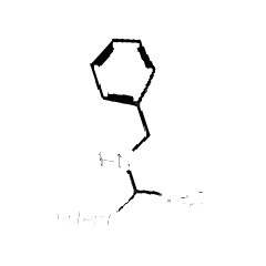 CCCCCCCC(CCCCCCC)NCc1ccccc1